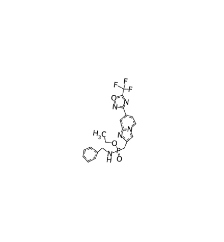 CCOP(=O)(Cc1cn2ccc(-c3noc(C(F)(F)F)n3)cc2n1)NCc1ccccc1